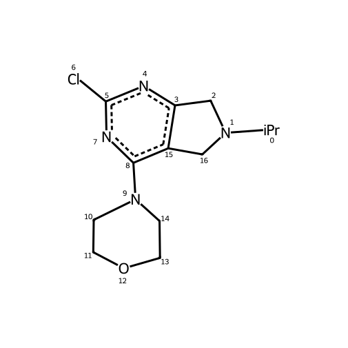 CC(C)N1Cc2nc(Cl)nc(N3CCOCC3)c2C1